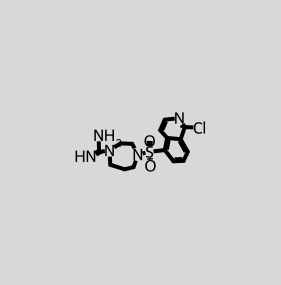 N=C(N)N1CCCN(S(=O)(=O)c2cccc3c(Cl)nccc23)CC1